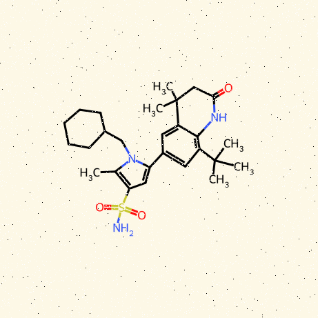 Cc1c(S(N)(=O)=O)cc(-c2cc(C(C)(C)C)c3c(c2)C(C)(C)CC(=O)N3)n1CC1CCCCC1